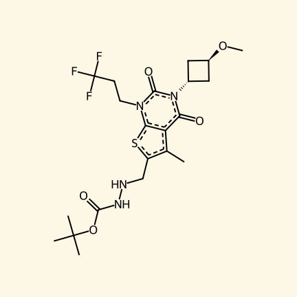 CO[C@H]1C[C@H](n2c(=O)c3c(C)c(CNNC(=O)OC(C)(C)C)sc3n(CCC(F)(F)F)c2=O)C1